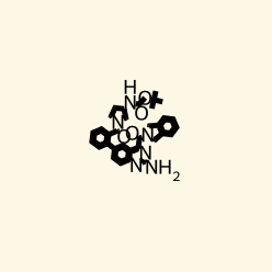 CC(C)(C)OC(=O)NC1CCN(C(=O)c2ccccc2-c2ccc3nc(N)nc(C(=O)N4Cc5ccccc5C4)c3c2)C1